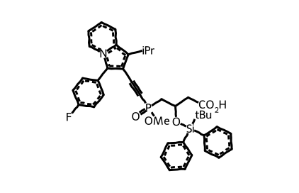 COP(=O)(C#Cc1c(C(C)C)c2ccccn2c1-c1ccc(F)cc1)CC(CC(=O)O)O[Si](c1ccccc1)(c1ccccc1)C(C)(C)C